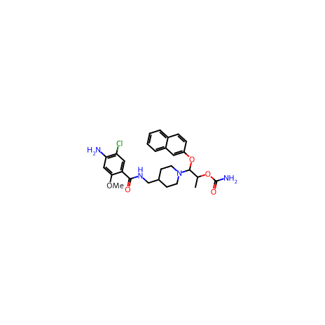 COc1cc(N)c(Cl)cc1C(=O)NCC1CCN(C(Oc2ccc3ccccc3c2)C(C)OC(N)=O)CC1